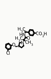 C[C@H](NC(=O)C(C)(C)N1CC[C@@H](COc2cccc(Cl)c2)C1)c1ccc(C(=O)O)cc1